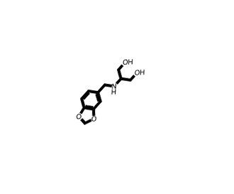 OCC(CO)NCc1ccc2c(c1)OCO2